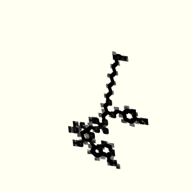 CCCCCCCCCCCCCCCCCCOCC(COP(=O)(O)OC[C@@]1(C)O[C@@H](c2ccc3c(N)ncnn23)[C@H](O)[C@@H]1O)OCc1ccc(C#N)nc1